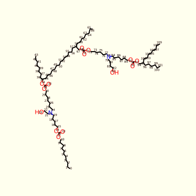 CCCCCCCCCCCOC(=O)OCCCCCN(CCO)CCCCCCCOC(=O)OC(CCCCCCCC)CCCCCCCCCCCCCCC(CCCCCCCC)COC(=O)OCCCCCCN(CCCCO)CCCCCCOC(=O)OCC(CCCCCC)CCCCCCCC